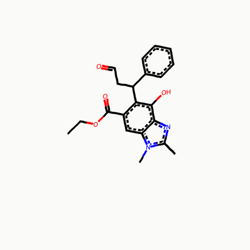 CCOC(=O)c1cc2c(nc(C)n2C)c(O)c1C(CC=O)c1ccccc1